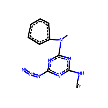 CC(C)Nc1nc(N=[N+]=[N-])nc(N(C)c2ccccc2)n1